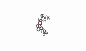 CC(C)(C)OC(=O)N1CCC[C@H]1c1nc2ccc(-c3ccc(OS(=O)(=O)C(F)(F)F)c4c3C3(CCCC3)CCC4)cc2[nH]1